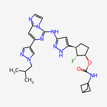 CC(C)Cn1cc(-c2cc3nccn3c(Nc3cc([C@H]4CC[C@@H](OC(=O)NC56CC(C5)C6)[C@@H]4F)[nH]n3)n2)cn1